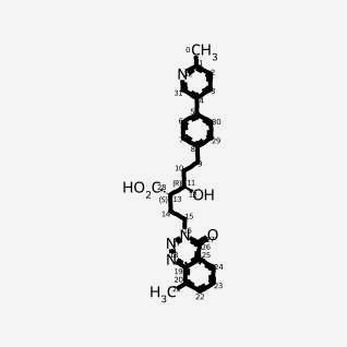 Cc1ccc(-c2ccc(CC[C@@H](O)[C@H](CCn3nnc4c(C)cccc4c3=O)C(=O)O)cc2)cn1